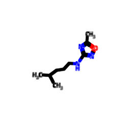 Cc1nc(NCCCC(C)C)no1